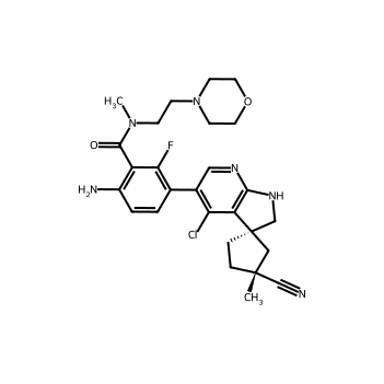 CN(CCN1CCOCC1)C(=O)c1c(N)ccc(-c2cnc3c(c2Cl)[C@@]2(CC[C@@](C)(C#N)C2)CN3)c1F